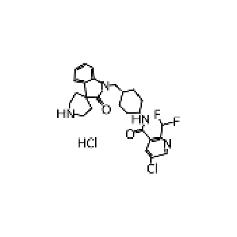 Cl.O=C(N[C@H]1CC[C@H](CN2C(=O)C3(CCNCC3)c3ccccc32)CC1)c1cc(Cl)cnc1C(F)F